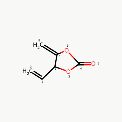 C=CC1OC(=O)OC1=C